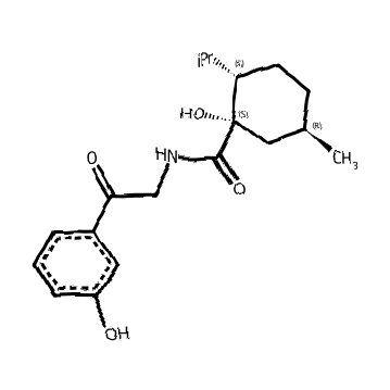 CC(C)[C@@H]1CC[C@@H](C)C[C@@]1(O)C(=O)NCC(=O)c1cccc(O)c1